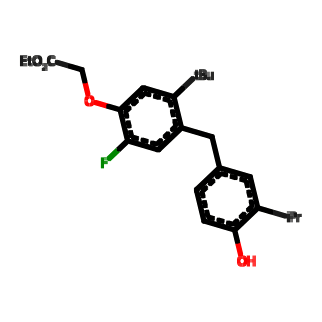 CCOC(=O)COc1cc(C(C)(C)C)c(Cc2ccc(O)c(C(C)C)c2)cc1F